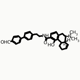 CN(C)[C@@H]1Cc2ccc(C(=O)NCCc3ccc(-c4ccc(C=O)cc4)cc3)c(O)c2C2CCC=C[C@H]21